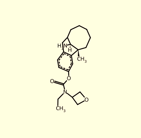 CCN(C(=O)Oc1ccc2c(c1)[C@@]1(C)CCCCCC(C2)[C@@H]1N)C1COC1